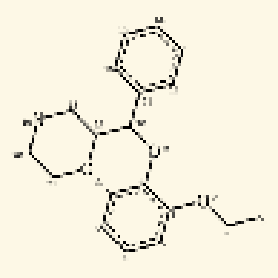 CCOc1ccccc1OC(c1ccccc1)C1C[N]CCO1